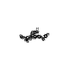 O=C(NS(=O)(=O)c1ccc(NC[C@H]2COCCO2)c([N+](=O)[O-])c1)c1ccc(N2CCN(CC3=C(c4ccc(Cl)cc4)CCC3)CC2)cc1N1CCCOc2nc3[nH]ccc3cc21